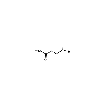 CCC(C)COC(=O)OC